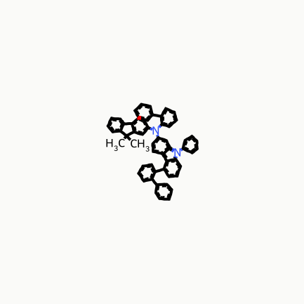 CC1(C)c2ccccc2-c2ccc(N(c3ccc4c5c(-c6ccccc6-c6ccccc6)cccc5n(-c5ccccc5)c4c3)c3ccccc3-c3ccccc3)cc21